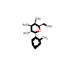 [CH2]c1ccccc1[C@H]1O[C@H](COC(C)=O)[C@H](OC(C)=O)[C@H](OC(C)=O)[C@H]1OC(C)=O